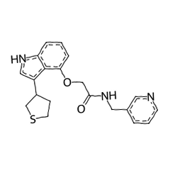 O=C(COc1cccc2[nH]cc(C3CCSC3)c12)NCc1cccnc1